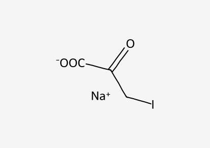 O=C([O-])C(=O)CI.[Na+]